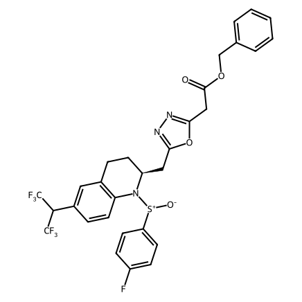 O=C(Cc1nnc(C[C@@H]2CCc3cc(C(C(F)(F)F)C(F)(F)F)ccc3N2[S+]([O-])c2ccc(F)cc2)o1)OCc1ccccc1